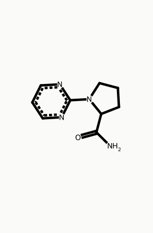 NC(=O)C1CCCN1c1ncccn1